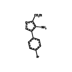 CCOC(=O)c1occ(-c2ccc(Br)cc2)c1N